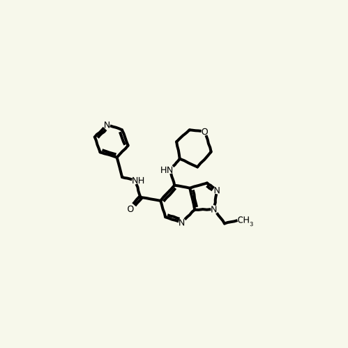 CCn1ncc2c(NC3CCOCC3)c(C(=O)NCc3ccncc3)cnc21